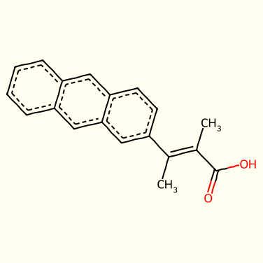 C/C(C(=O)O)=C(/C)c1ccc2cc3ccccc3cc2c1